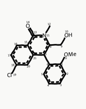 COc1ccccc1-c1c(CO)n(C)c(=O)c2ccc(Cl)cc12